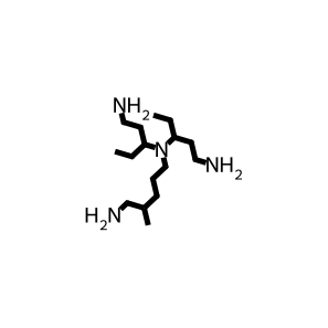 CCC(CCN)N(CCCC(C)CN)C(CC)CCN